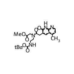 COC(=O)CN(CCNC(=O)OC(C)(C)C)C(=O)Cc1cc2c(C)ccnc2[nH]c1=O